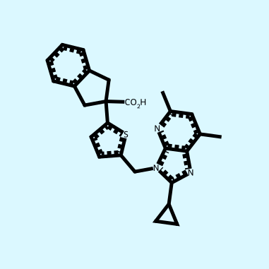 Cc1cc(C)c2nc(C3CC3)n(Cc3ccc(C4(C(=O)O)Cc5ccccc5C4)s3)c2n1